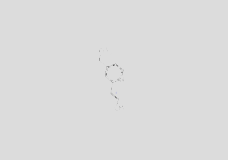 C/C=C/c1cc(CC)ccn1